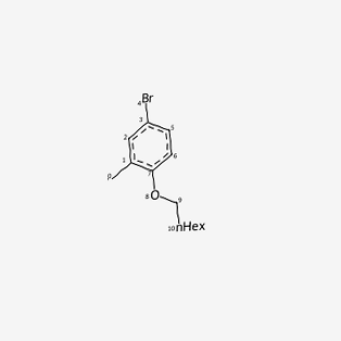 [CH2]c1cc(Br)ccc1OCCCCCCC